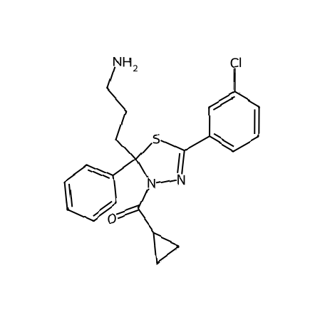 NCCCC1(c2ccccc2)SC(c2cccc(Cl)c2)=NN1C(=O)C1CC1